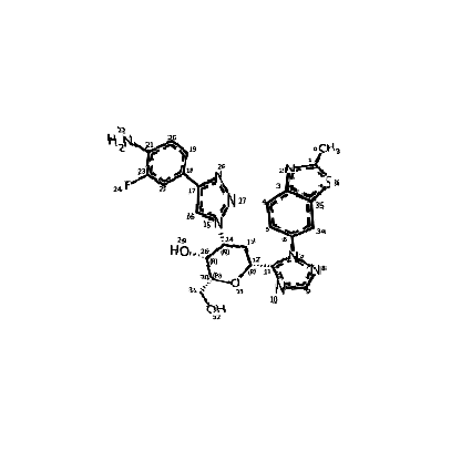 Cc1nc2ccc(-n3ncnc3[C@H]3C[C@@H](n4cc(-c5ccc(N)c(F)c5)nn4)[C@@H](O)[C@@H](CO)O3)cc2s1